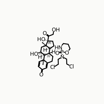 C[C@]12C=CC(=O)C=C1CC[C@@H]1[C@@H]2[C@@H](O)C[C@@]2(C)[C@H]1CC[C@]2(O)C(=O)CO.O=P1(N(CCCl)CCCl)NCCCO1